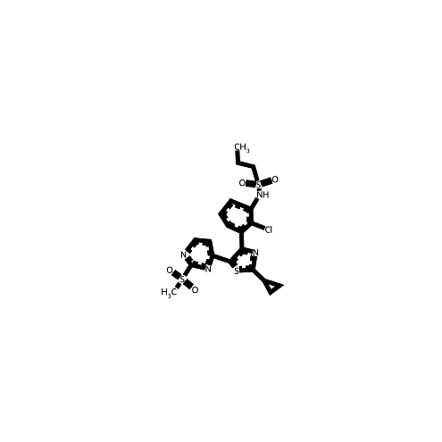 CCCS(=O)(=O)Nc1cccc(-c2nc(C3CC3)sc2-c2ccnc(S(C)(=O)=O)n2)c1Cl